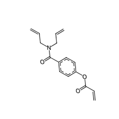 C=CCN(CC=C)C(=O)c1ccc(OC(=O)C=C)cc1